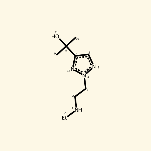 CCNCCn1ncc(C(C)(C)O)n1